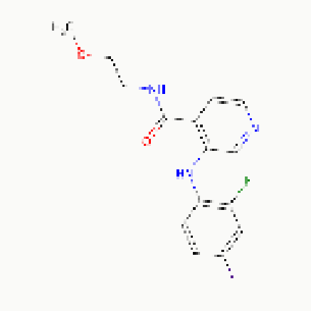 COCCNC(=O)c1ccncc1Nc1ccc(I)cc1F